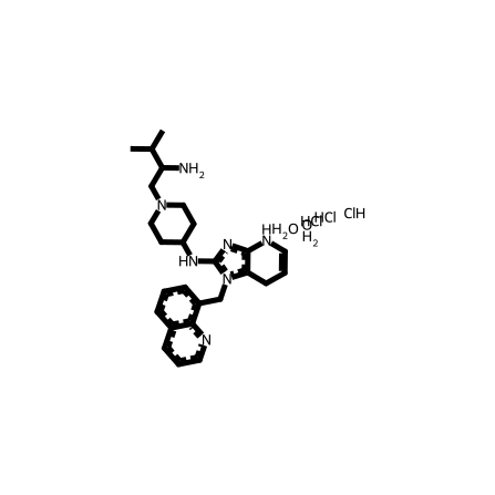 CC(C)C(N)CN1CCC(Nc2nc3c(n2Cc2cccc4cccnc24)CC=CN3)CC1.Cl.Cl.Cl.O.O